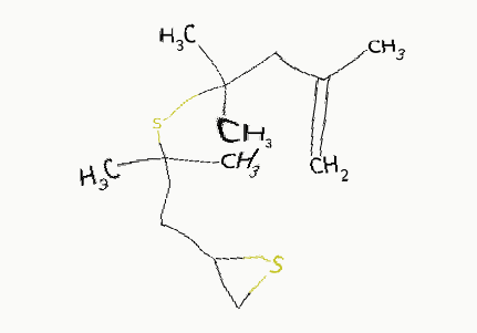 C=C(C)CC(C)(C)SC(C)(C)CC1CS1